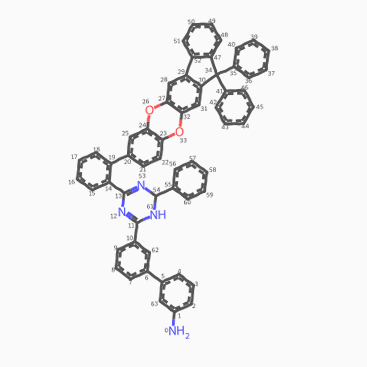 Nc1cccc(-c2cccc(C3=NC(c4ccccc4-c4ccc5c(c4)Oc4cc6c(cc4O5)C(c4ccccc4)(c4ccccc4)c4ccccc4-6)=NC(c4ccccc4)N3)c2)c1